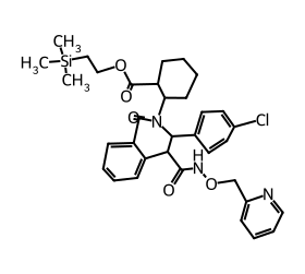 C[Si](C)(C)CCOC(=O)C1CCCCC1N1C(=O)c2ccccc2C(C(=O)NOCc2ccccn2)C1c1ccc(Cl)cc1